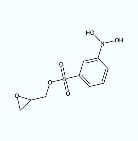 O=S(=O)(OCC1CO1)c1cccc(N(O)O)c1